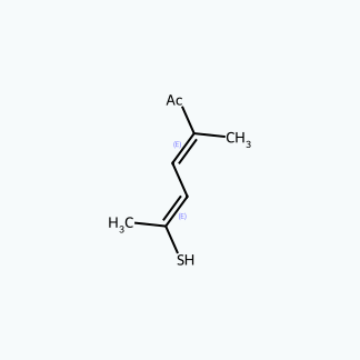 CC(=O)/C(C)=C/C=C(\C)S